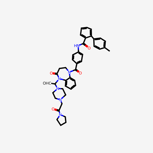 Cc1ccc(-c2ccccc2C(=O)Nc2ccc(C(=O)N3CCC(=O)N(C(C=O)N4CCN(CC(=O)N5CCCC5)CC4)c4ccccc43)cc2)cc1